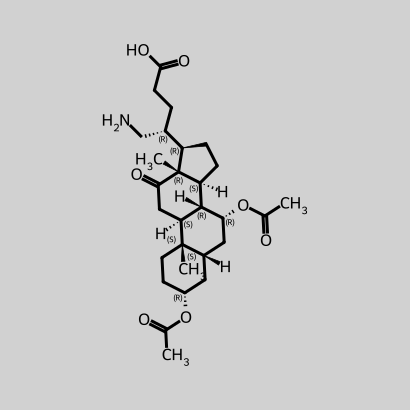 CC(=O)O[C@@H]1CC[C@@]2(C)[C@@H](C1)C[C@@H](OC(C)=O)[C@@H]1[C@@H]2CC(=O)[C@]2(C)[C@@H]([C@H](CN)CCC(=O)O)CC[C@@H]12